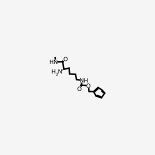 CNC(=O)[C@@H](N)CCCCNC(=O)OCc1ccccc1